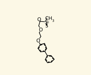 C[S@@](=S)C(=O)COCCOc1ccc(-c2ccccc2)cc1